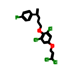 C=C(CCCOc1c(Cl)cc(OCC=C(Cl)Cl)cc1Cl)c1ccc(F)cc1